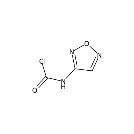 O=C(Cl)Nc1cnon1